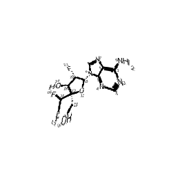 Nc1ncnc2c1ncn2[C@@H]1O[C@@](CO)(C(F)F)[C@@H](O)[C@@H]1F